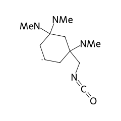 CNC1(CN=C=O)C[CH]CC(NC)(NC)C1